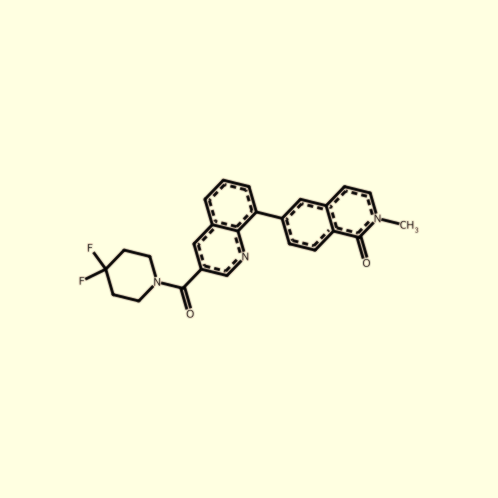 Cn1ccc2cc(-c3cccc4cc(C(=O)N5CCC(F)(F)CC5)cnc34)ccc2c1=O